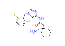 NCC1(CC(=O)Nc2cn(Cc3c(F)cccc3F)nn2)CCCCC1